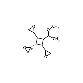 COC(C)C1C(C2CO2)C([C@@H]2CO2)C1C1CO1